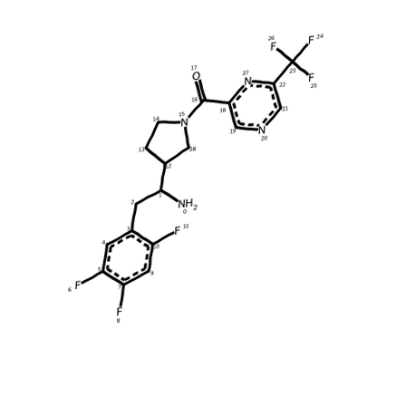 NC(Cc1cc(F)c(F)cc1F)C1CCN(C(=O)c2cncc(C(F)(F)F)n2)C1